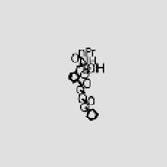 CCCC(=O)N[C@H]1Cc2cccc(C(=O)OCOC(=O)OC3CCCCC3)c2OB1O